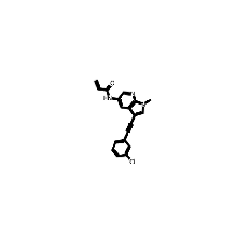 C=CC(=O)Nc1cnc2c(c1)c(C#Cc1cccc(Cl)c1)cn2C